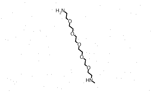 CNCCOCCOCCOCCOCCOCCN